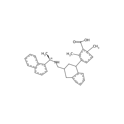 Cc1ccc(C2CC(CN[C@H](C)c3cccc4ccccc34)Cc3ccccc32)c(C)c1C(=O)O